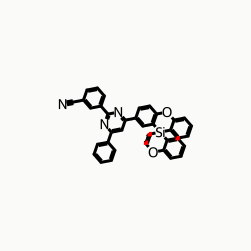 N#Cc1cccc(-c2nc(-c3ccccc3)cc(-c3ccc4c(c3)[Si]3(c5ccccc5Oc5ccccc53)c3ccccc3O4)n2)c1